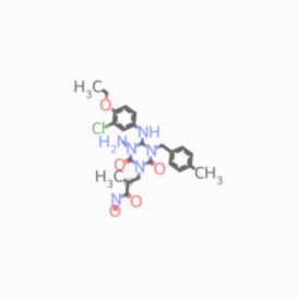 CCOc1ccc(NC2N(N)C(=O)N(C[C@H](C)C(=O)N=O)C(=O)N2Cc2ccc(C)cc2)cc1Cl